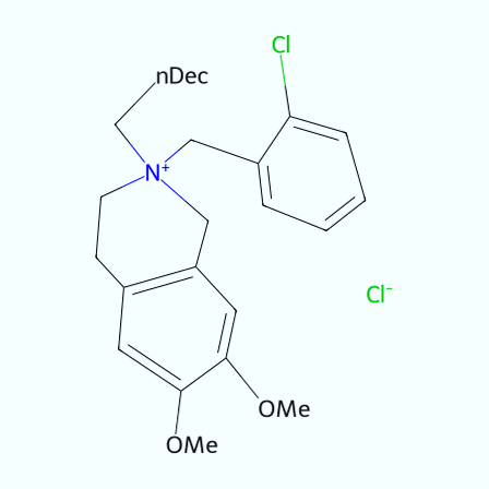 CCCCCCCCCCC[N+]1(Cc2ccccc2Cl)CCc2cc(OC)c(OC)cc2C1.[Cl-]